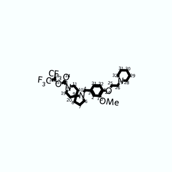 COc1cc(CN2CCCC23CCN(C(=O)OC(C(F)(F)F)C(F)(F)F)CC3)ccc1OCCN1CCCCC1